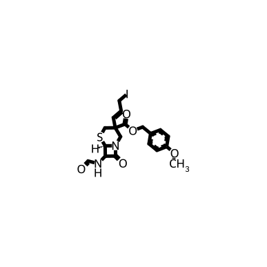 COc1ccc(COC(=O)C2(C=CCI)CS[C@@H]3C(NC=O)C(=O)N3C2)cc1